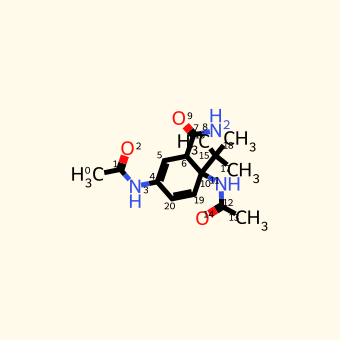 CC(=O)NC1=CC(C(N)=O)C(NC(C)=O)(C(C)(C)C)C=C1